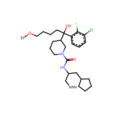 CCOCCCCC(O)(c1cccc(Cl)c1F)C1CCCN(C(=O)NC(CNC)CC2CCCC2)C1